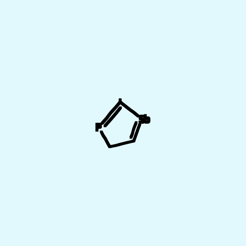 [C]1=PC[CH]=[Sb]1